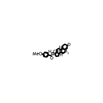 COc1ccc(C(=O)O[C@H]2CC[C@H]3[C@@H]4CCC5=CC(=O)CC[C@]5(C)[C@H]4CC[C@]23C)cc1